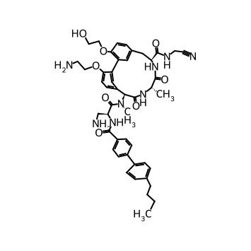 CCCCc1ccc(-c2ccc(C(=O)N[C@@H](CN)C(=O)N(C)[C@@H]3C(=O)N[C@@H](C)C(=O)N[C@H](C(=O)NCC#N)Cc4ccc(OCCO)c(c4)-c4cc3ccc4OCCN)cc2)cc1